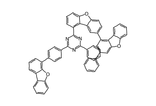 c1ccc(-c2cc(-c3ccc4oc5cccc(-c6nc(-c7ccccc7)nc(-c7ccc(-c8cccc9c8oc8ccccc89)cc7)n6)c5c4c3)c3c(c2)oc2ccccc23)cc1